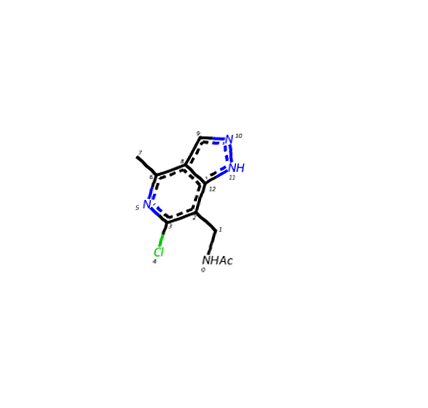 CC(=O)NCc1c(Cl)nc(C)c2cn[nH]c12